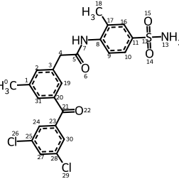 Cc1cc(CC(=O)Nc2ccc(S(N)(=O)=O)cc2C)cc(C(=O)c2cc(Cl)cc(Cl)c2)c1